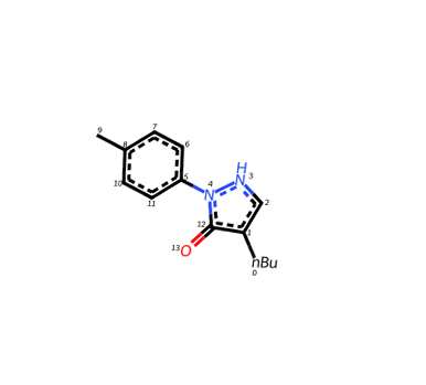 CCCCc1c[nH]n(-c2ccc(C)cc2)c1=O